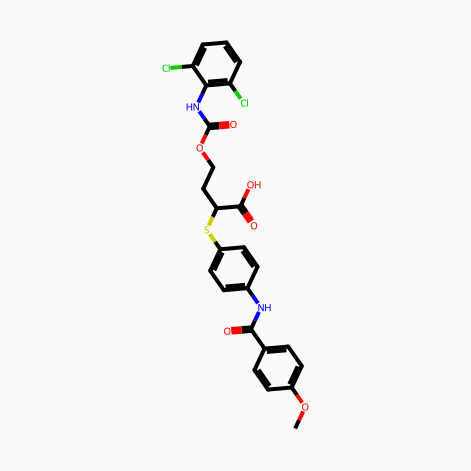 COc1ccc(C(=O)Nc2ccc(SC(CCOC(=O)Nc3c(Cl)cccc3Cl)C(=O)O)cc2)cc1